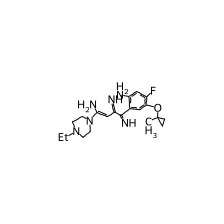 CCN1CCN(/C(N)=C/C(=N)C(=N)c2cc(OC3(C)CC3)c(F)cc2N)CC1